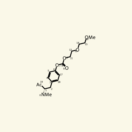 CN[C@@H](Cc1ccc(OC(=O)OCCOCCOC)cc1)C(C)=O